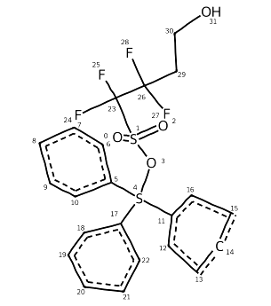 O=S(=O)(OS(c1ccccc1)(c1ccccc1)c1ccccc1)C(F)(F)C(F)(F)CCO